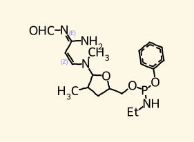 CCNP(OCC1CC(C)C(N(C)/C=C\C(N)=N/C=O)O1)Oc1ccccc1